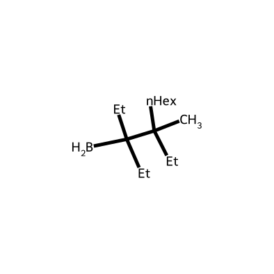 BC(CC)(CC)C(C)(CC)CCCCCC